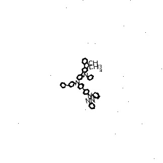 CC1(C)c2ccccc2-c2cc3c4ccc(N(c5ccc(-c6ccccc6)cc5)c5ccc(-c6ccc(-n7c8ccccc8n8c9ccccc9nc78)cc6)cc5)cc4n(-c4ccccc4)c3cc21